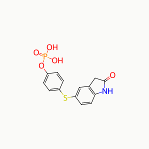 O=C1Cc2cc(Sc3ccc(OP(=O)(O)O)cc3)ccc2N1